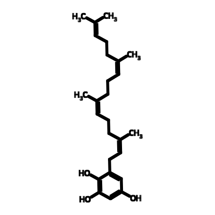 CC(C)=CCCC(C)=CCCC(C)=CCCC(C)=CCc1cc(O)cc(O)c1O